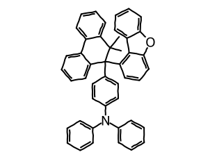 CC1(C)c2ccccc2-c2ccccc2C1(c1ccc(N(c2ccccc2)c2ccccc2)cc1)c1cccc2oc3ccccc3c12